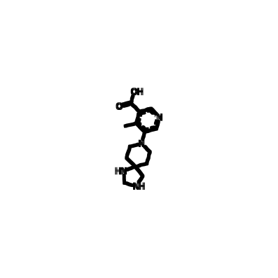 Cc1c(C(=O)O)cncc1N1CCC2(CC1)CNCN2